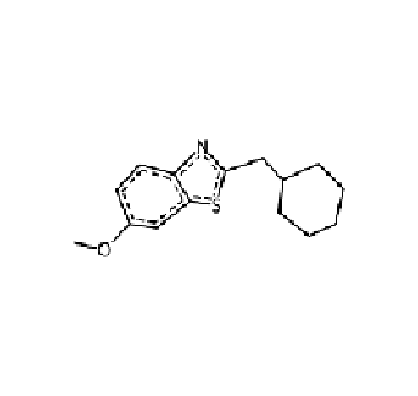 COc1ccc2nc(CC3CCCCC3)sc2c1